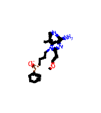 COCCc1nc2c(N)ncc(C)c2n1CCCC[S+]([O-])c1ccccc1